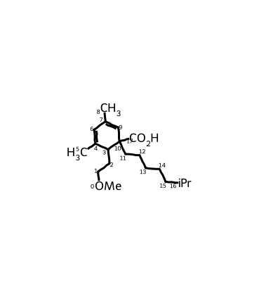 COCCC1C(C)=CC(C)=CC1(CCCCCC(C)C)C(=O)O